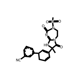 CC1(C2=CC(c3cccc(C#N)c3)CC=C2)NC2=NC(=O)N(S(C)(=O)=O)CCN2C1=O